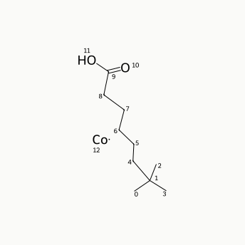 CC(C)(C)CCCCCC(=O)O.[Co]